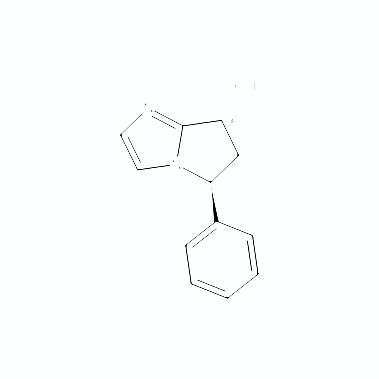 O[C@@H]1C[C@@H](c2ccccc2)n2ccnc21